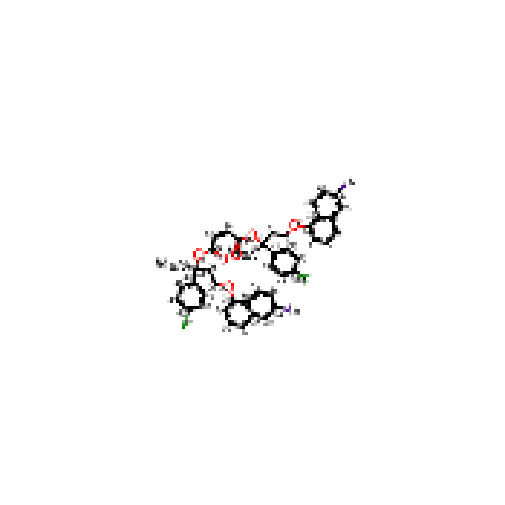 CNC(CCOc1cccc2cc(I)ccc12)(OC(=O)/C=C\C(=O)OC(CCOc1cccc2cc(I)ccc12)(NC)c1ccc(F)cc1)c1ccc(F)cc1